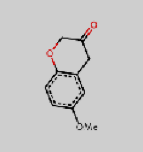 COc1ccc2c(c1)CC(=O)CO2